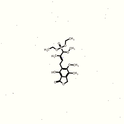 CCOP(=O)(OCC)C(OC)/C(C)=C/Cc1c(O)c2c(c(C)c1OC)COC2=O